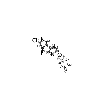 CN1CCC(F)(COc2cnc(-c3cnc(Cl)cc3F)cn2)CC1